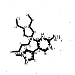 CCC[CH2][Sn]([CH2]CCC)([CH2]CCC)[c]1nc(N)ncc1-c1cnn(C)c1